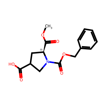 COC(=O)[C@@H]1CC(C(=O)O)CN1C(=O)OCc1ccccc1